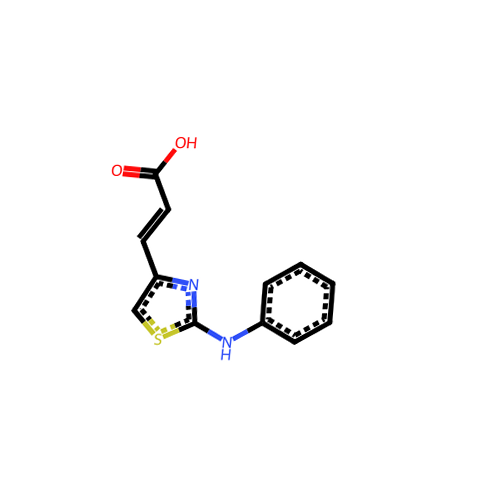 O=C(O)C=Cc1csc(Nc2ccccc2)n1